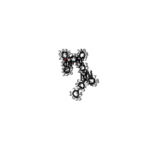 c1ccc(-c2ccc(-c3nc(-c4ccc(-n5c6ccccc6c6cc7c8ccccc8c8cc9ccccc9n8c7cc65)cc4)nc4ccccc34)cc2)cc1